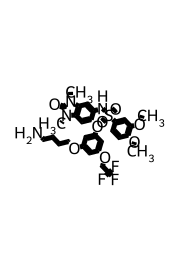 COc1ccc(S(=O)(=O)Nc2cc3c(cc2Oc2cc(OCCCCN)cc(OCC(F)(F)F)c2)n(C)c(=O)n3C)cc1OC